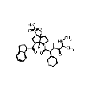 CN[C@@H](C)C(=O)N[C@H](C(=O)N1CC[C@@H]2[C@H]1[C@@H](C(=O)N1CCc3ccccc31)CN2S(C)(=O)=O)C1CCCCC1